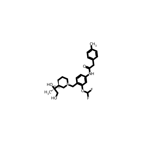 Cc1ccc(CC(=O)Nc2ccc(CN3CCC[C@H]([C@](C)(O)CO)C3)c(OC(F)F)c2)cc1